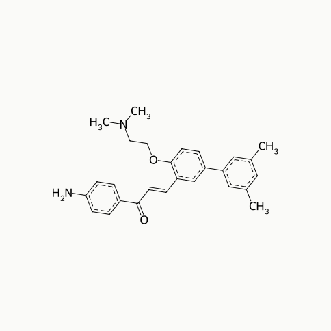 Cc1cc(C)cc(-c2ccc(OCCN(C)C)c(/C=C/C(=O)c3ccc(N)cc3)c2)c1